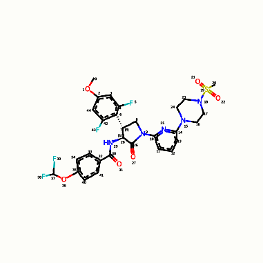 COc1cc(F)c([C@@H]2CN(c3cccc(N4CCN(S(C)(=O)=O)CC4)n3)C(=O)[C@H]2NC(=O)c2ccc(OC(F)F)cc2)c(F)c1